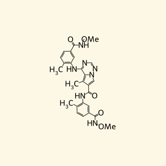 CONC(=O)c1ccc(C)c(NC(=O)c2cn3ncnc(Nc4cc(C(=O)NOC)ccc4C)c3c2C)c1